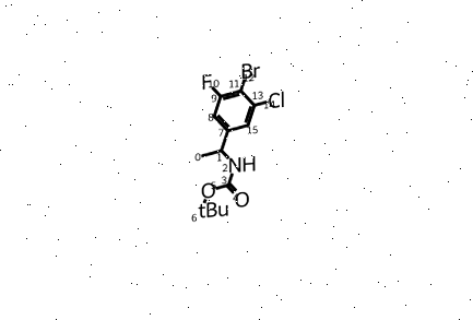 CC(NC(=O)OC(C)(C)C)c1cc(F)c(Br)c(Cl)c1